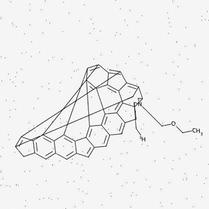 [3H]CC1N(COCC)CC2C3=c4c5c6c7c(cc8cc9cc%10cc%11cc%12c%13c(c4c4c5c5c7c8c7c9c%10c8c%11c%13c4c8c75)=C(C3)C%12)CC621